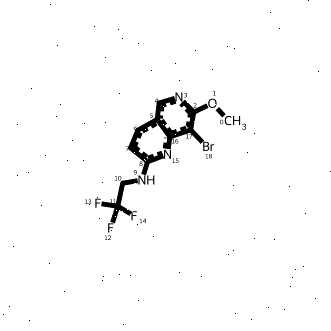 COc1ncc2ccc(NCC(F)(F)F)nc2c1Br